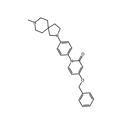 CN1CCC2(CC1)CCN(c1ccc(-n3ccc(OCc4ccccc4)cc3=O)cc1)C2